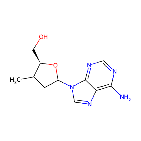 CC1CC(n2cnc3c(N)ncnc32)O[C@@H]1CO